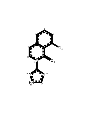 O=c1c2c(Cl)cccc2ccn1-c1nc[nH]n1